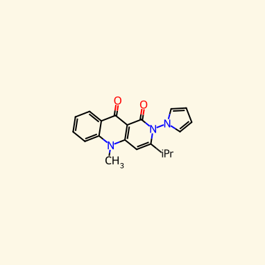 CC(C)c1cc2c(c(=O)c3ccccc3n2C)c(=O)n1-n1cccc1